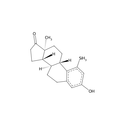 C[C@]12CC[C@@H]3c4c([SiH3])cc(O)cc4CC[C@H]3[C@@H]1CCC2=O